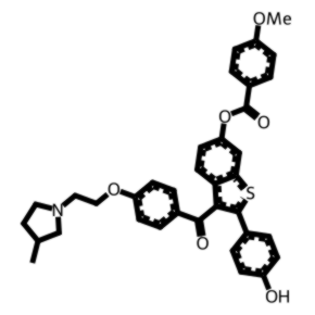 COc1ccc(C(=O)Oc2ccc3c(C(=O)c4ccc(OCCN5CCC(C)C5)cc4)c(-c4ccc(O)cc4)sc3c2)cc1